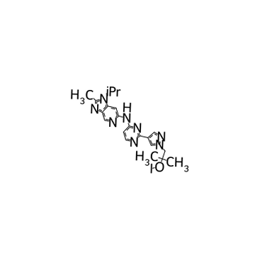 Cc1nc2cnc(Nc3ccnc(-c4cnn(CC(C)(C)OI)c4)n3)cc2n1C(C)C